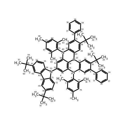 Cc1cc(C)c(N2c3cc(-c4ccccc4)c(C(C)(C)C)cc3B3c4cc(C(C)(C)C)c(-c5ccccc5)cc4N(c4c(C)cc(C)cc4C)c4cc(-n5c6ccc(C(C)(C)C)cc6c6cc(C(C)(C)C)ccc65)cc2c43)c(C)c1